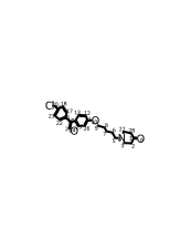 O=C1CCN(CCCCCOc2ccc3c(-c4ccc(Cl)cc4)coc3c2)CC1